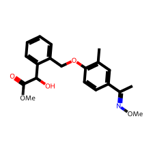 CO/N=C(\C)c1ccc(OCc2ccccc2C(O)C(=O)OC)c(C)c1